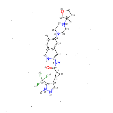 Cc1cc2cnc(NC(=O)C3CC3c3cnn(C)c3C(F)(F)F)cc2cc1N1CCN(C2(C)CCOC2)CC1